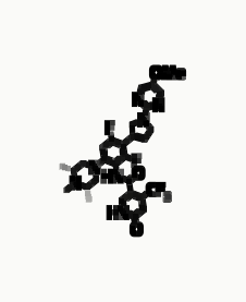 COc1cnc(N2CC=C(c3c(F)cc(N4C[C@@H](C)N(C)[C@@H](C)C4)c(NC(=O)c4c[nH]c(=O)cc4C(F)(F)F)c3F)C2)nc1